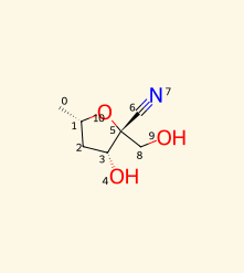 C[C@H]1C[C@@H](O)[C@@](C#N)(CO)O1